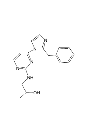 CC(O)CNc1nccc(-n2ccnc2Cc2ccccc2)n1